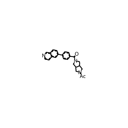 CC(=O)N1CC2CN(C(=O)c3ccc(-c4ccc5cnccc5c4)cc3)CC2C1